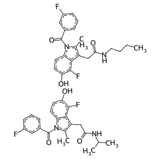 CCCCNC(=O)Cc1c(C)n(C(=O)c2cccc(F)c2)c2ccc(O)c(F)c12.Cc1c(CC(=O)NC(C)C)c2c(F)c(O)ccc2n1C(=O)c1cccc(F)c1